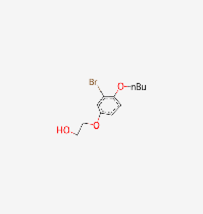 CCCCOc1ccc(OCCO)cc1Br